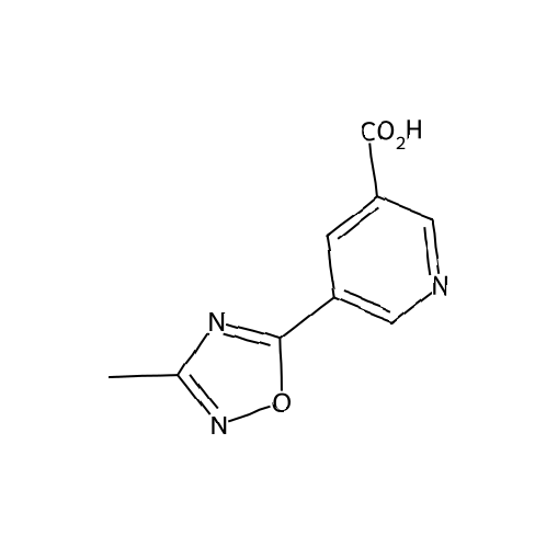 Cc1noc(-c2cncc(C(=O)O)c2)n1